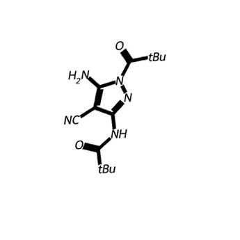 CC(C)(C)C(=O)Nc1nn(C(=O)C(C)(C)C)c(N)c1C#N